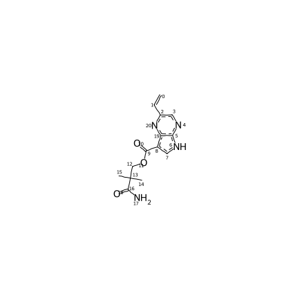 C=Cc1cnc2[nH]cc(C(=O)OCC(C)(C)C(N)=O)c2n1